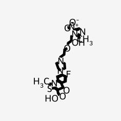 Cc1ncc([N+](=O)[O-])n1CC(O)COCCCN1CCN(c2cc3c(cc2F)c(=O)c(C(=O)O)c2n3C(C)S2)CC1